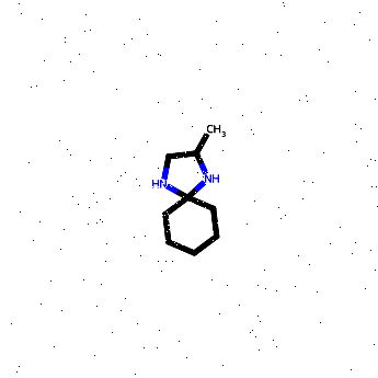 CC1CNC2(CCCCC2)N1